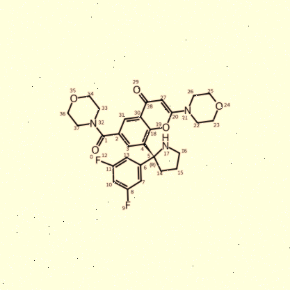 O=C(c1cc([C@]2(c3cc(F)cc(F)c3)CCCN2)c2oc(N3CCOCC3)cc(=O)c2c1)N1CCOCC1